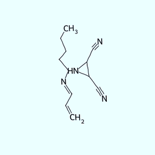 C=CC=NCCCCC.N#CC1NC1C#N